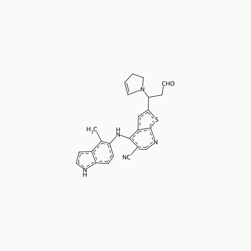 Cc1c(Nc2c(C#N)cnc3sc(C(CC=O)N4C=CCC4)cc23)ccc2[nH]ccc12